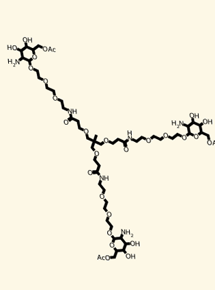 CC(=O)OCC1OC(OCCOCCOCCNC(=O)CCOCC(C)(COCCC(=O)NCCOCCOCCOC2OC(COC(C)=O)C(O)C(O)C2N)COCCC(=O)NCCOCCOCCOC2OC(COC(C)=O)C(O)C(O)C2N)C(N)C(O)C1O